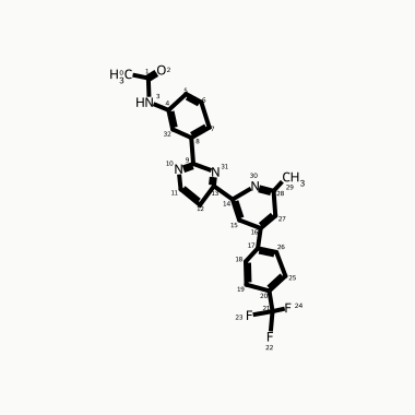 CC(=O)Nc1cccc(-c2nccc(-c3cc(-c4ccc(C(F)(F)F)cc4)cc(C)n3)n2)c1